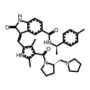 Cc1ccc([C@@H](C)NC(=O)c2ccc3c(c2)C(=Cc2[nH]c(C)c(C(=O)N4CCC[C@H]4CN4CCCC4)c2C)C(=O)N3)cc1